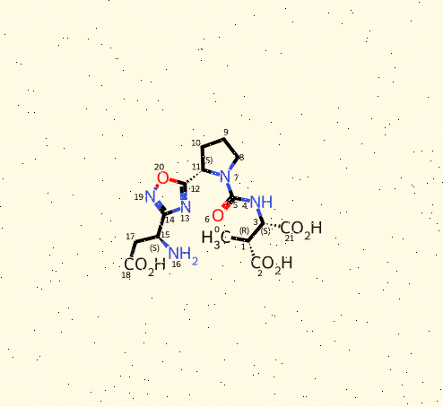 C[C@@H](C(=O)O)[C@H](NC(=O)N1CCC[C@H]1c1nc([C@@H](N)CC(=O)O)no1)C(=O)O